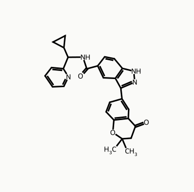 CC1(C)CC(=O)c2cc(-c3n[nH]c4ccc(C(=O)NC(c5ccccn5)C5CC5)cc34)ccc2O1